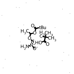 CC(C)(C)C(=O)O.CC(O/N=[N+](\N)[O-])OC(=O)C(C)(C)C